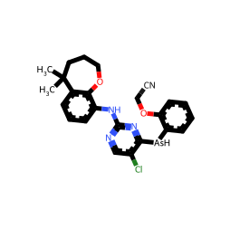 CC1(C)CCCOc2c(Nc3ncc(Cl)c([AsH]c4ccccc4OCC#N)n3)cccc21